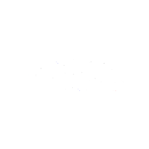 CNC(=O)c1c(-c2ccc(F)cc2)oc2nc(Cl)c(-c3cc(C(=O)O)ccc3C)cc12